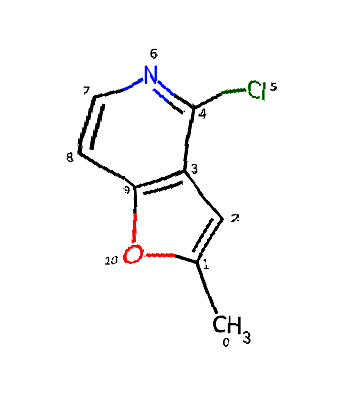 Cc1cc2c(Cl)nccc2o1